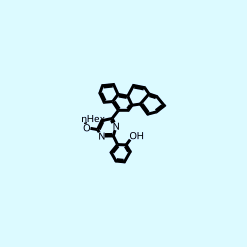 CCCCCCOc1cc(-c2cc3c4ccccc4ccc3c3ccccc23)nc(-c2ccccc2O)n1